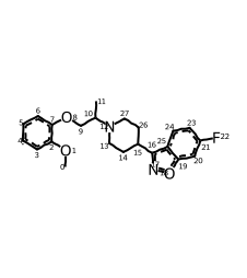 COc1c[c]ccc1OCC(C)N1CCC(c2noc3cc(F)ccc23)CC1